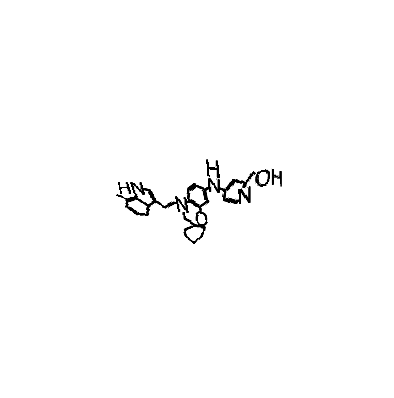 CC1=C2NC=C(CCN3CC4(CCCCC4)Oc4cc(Nc5ccnc(CO)c5)ccc43)C2CC=C1